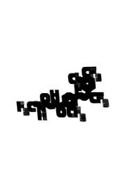 O=C(CNC(=O)c1ccc(C(F)=CC(c2ccc(C(F)(F)F)c(Cl)c2)C(F)(F)F)cc1C(F)(F)F)NCC(F)(F)F